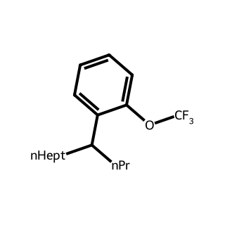 CCCCCCCC(CCC)c1ccccc1OC(F)(F)F